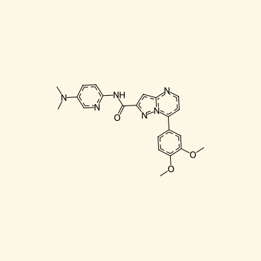 COc1ccc(-c2ccnc3cc(C(=O)Nc4ccc(N(C)C)cn4)nn23)cc1OC